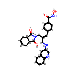 O=C(NO)c1ccc(C=C(CNc2cnc3ccccc3c2)CN2C(=O)C3CC=CCC3C2=O)cc1